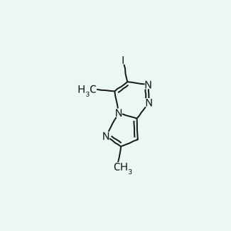 Cc1cc2nnc(I)c(C)n2n1